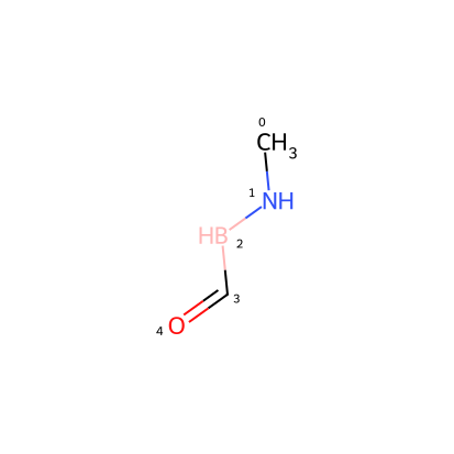 CNBC=O